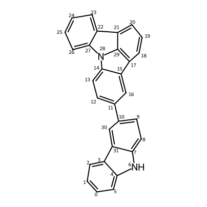 c1ccc2c(c1)[nH]c1ccc(-c3ccc4c(c3)c3cccc5c6ccccc6n4c53)cc12